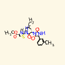 COC(=O)c1csc(NC(=O)[C@H](CC(C)C)N2C(=O)NC(c3cccc(C)c3)C2=O)n1